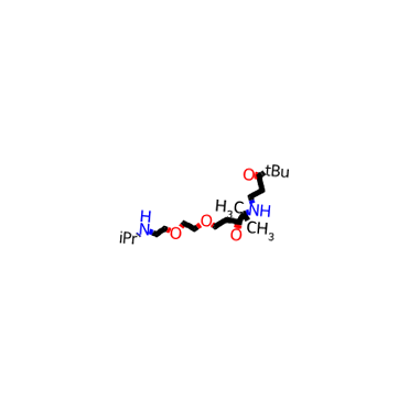 CC(C)NCCOCCOCCC(=O)C(C)(C)NCCC(=O)C(C)(C)C